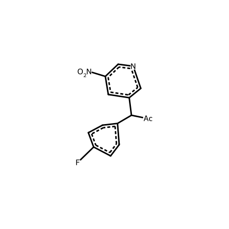 CC(=O)C(c1ccc(F)cc1)c1cncc([N+](=O)[O-])c1